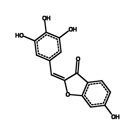 O=C1C(=Cc2cc(O)c(O)c(O)c2)Oc2cc(O)ccc21